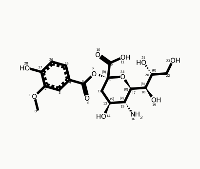 COc1cc(C(=O)O[C@@]2(C(=O)O)C[C@H](O)[C@@H](N)[C@H]([C@H](O)[C@H](O)CO)O2)ccc1O